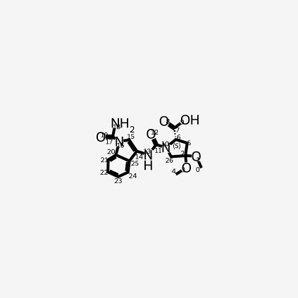 COC1(OC)C[C@@H](C(=O)O)N(C(=O)Nc2cn(C(N)=O)c3ccccc23)C1